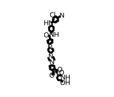 N#Cc1ccc(N[C@H]2CC[C@H](NC(=O)c3ccc(N4CCC(N5CCN(c6ccc7c(c6)C(=O)N(C6CCC(O)NC6=O)C7=O)CC5)CC4)cc3)CC2)cc1Cl